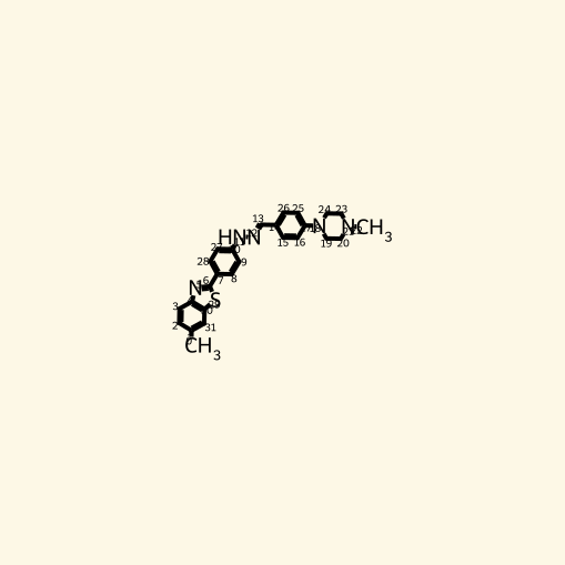 Cc1ccc2nc(-c3ccc(NN=Cc4ccc(N5CCN(C)CC5)cc4)cc3)sc2c1